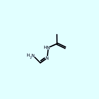 C=C(C)N/N=C\N